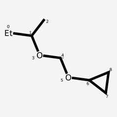 CCC(C)O[CH]OC1CC1